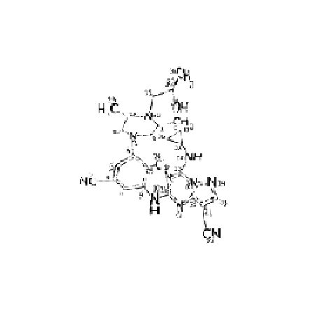 C[C@@H]1CN(c2cc(C#N)cc(Nc3nc(NC4CC4)n4ncc(C#N)c4n3)c2Cl)C[C@H](C)N1C[C@@H](C)O